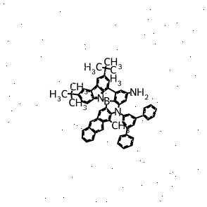 Cc1c2c(cc3cc4ccccc4cc13)B1c3c(cc(N)cc3N2c2cc(-c3ccccc3)cc(-c3ccccc3)c2)-c2cc(C(C)(C)C)cc3c4cc(C(C)(C)C)ccc4n1c23